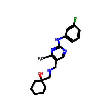 OC1(CNCc2cnc(Nc3cccc(Cl)c3)nc2C(F)(F)F)CCCCC1